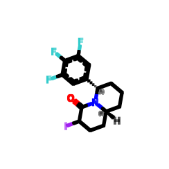 O=C1C(I)CC[C@H]2CCC[C@@H](c3cc(F)c(F)c(F)c3)N12